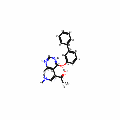 COC(=O)/C(=C/N(C)C)c1c(C)ncnc1Oc1cccc(-c2ccccc2)c1